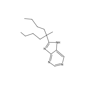 CCCCC(C)(CCCC)c1nc2ncncc2[nH]1